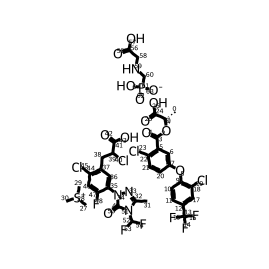 C[C@H](OC(=O)c1cc(Oc2ccc(C(F)(F)F)cc2Cl)ccc1Cl)C(=O)O.C[S+](C)C.Cc1nn(-c2cc(CC(Cl)C(=O)O)c(Cl)cc2F)c(=O)n1C(F)F.O=C(O)CNCP(=O)([O-])O